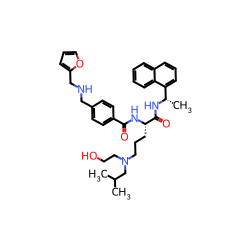 CC(C)CN(CCO)CCC[C@H](NC(=O)c1ccc(CNCc2ccco2)cc1)C(=O)N[C@@H](C)c1cccc2ccccc12